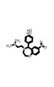 CN(C)CCN1CCOc2ccc([N+](=O)[O-])cc2C1c1ccccc1.Cl.Cl